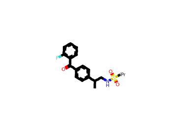 CC(CNS(=O)(=O)C(C)C)c1ccc(C(=O)c2ccccc2F)cc1